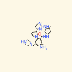 Cc1ccc(NC(=O)C2=CC(C)(N)C=C(CN3CCNCC3)C=C2)cc1Nc1nccc(-c2cccnc2)n1